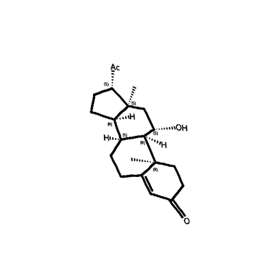 CC(=O)[C@H]1CC[C@@H]2[C@@H]3CCC4=CC(=O)CC[C@]4(C)[C@@H]3[C@@H](O)C[C@]12C